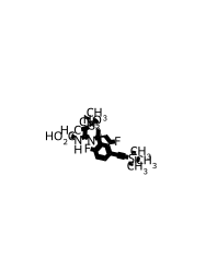 CN=[S@]1(=O)C[C@](CCF)(c2cc(C#C[Si](C)(C)C)ccc2F)N=C(NC(=O)O)C1(C)C